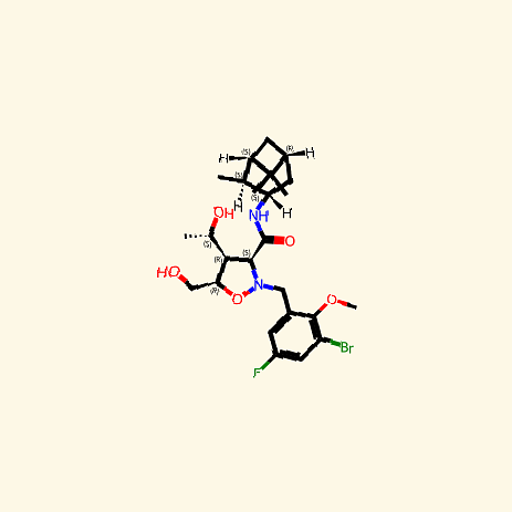 COc1c(Br)cc(F)cc1CN1O[C@@H](CO)[C@@H]([C@H](C)O)[C@H]1C(=O)N[C@H]1C[C@H]2C[C@@H]([C@@H]1C)C2(C)C